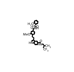 COc1cc(C(=O)NS(=O)(=O)c2ccccc2C)ccc1CCc1c[nH]c2ccc(C(=O)NCC(C)CC(F)(F)F)cc12